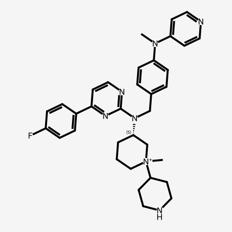 CN(c1ccncc1)c1ccc(CN(c2nccc(-c3ccc(F)cc3)n2)[C@H]2CCC[N+](C)(C3CCNCC3)C2)cc1